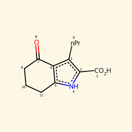 CCCc1c(C(=O)O)[nH]c2c1C(=O)CCC2